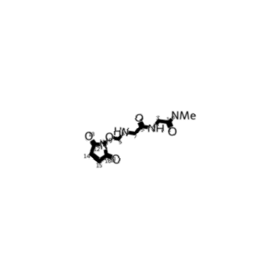 CNC(=O)CNC(=O)CNCON1C(=O)C=CC1=O